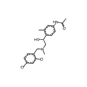 CC(=O)Nc1ccc(C(O)CN(C)Cc2ccc(Cl)cc2Cl)c(C)c1